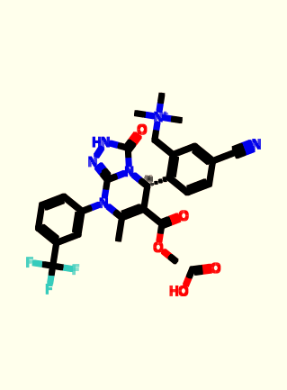 COC(=O)C1=C(C)N(c2cccc(C(F)(F)F)c2)c2n[nH]c(=O)n2[C@@H]1c1ccc(C#N)cc1C[N+](C)(C)C.O=CO